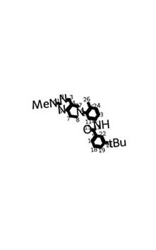 CNc1ncc2c(n1)CCN(c1cc(NC(=O)c3cccc(C(C)(C)C)c3)ccc1C)C2